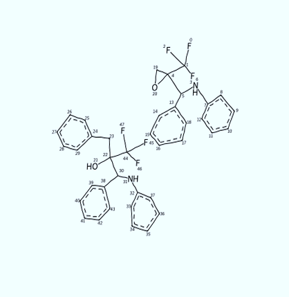 FC(F)(F)C1(C(Nc2ccccc2)c2ccccc2)CO1.OC(Cc1ccccc1)(C(Nc1ccccc1)c1ccccc1)C(F)(F)F